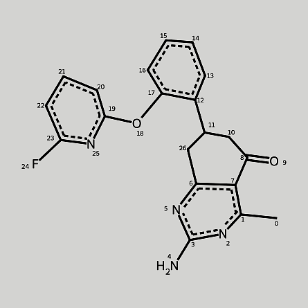 Cc1nc(N)nc2c1C(=O)CC(c1ccccc1Oc1cccc(F)n1)C2